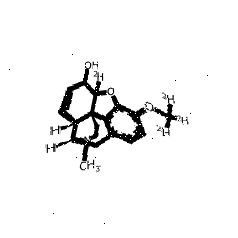 [2H]C([2H])([2H])Oc1ccc2c3c1OC1([2H])C(O)C=C[C@H]4[C@@H](C2)N(C)CC[C@@]341